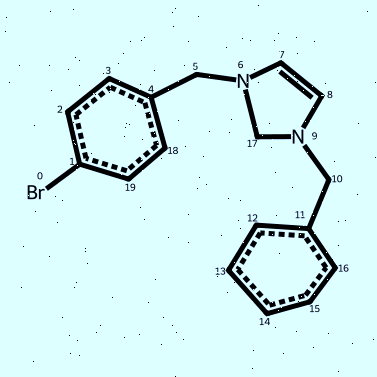 Brc1ccc(CN2C=CN(Cc3ccccc3)C2)cc1